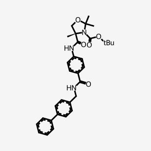 CC(C)(C)OC(=O)N1C(C)(C)OC[C@@]1(C)C(=O)Nc1ccc(C(=O)NCc2ccc(-c3ccccc3)cc2)cc1